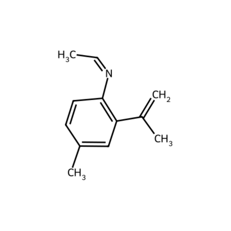 C=C(C)c1cc(C)ccc1/N=C\C